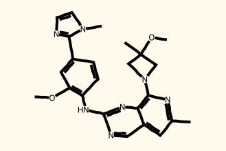 COc1cc(-c2nccn2C)ccc1Nc1ncc2cc(C)nc(N3CC(C)(OC)C3)c2n1